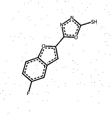 Fc1ccc2oc(-c3nnc(S)o3)cc2c1